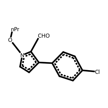 CCCOn1ccc(-c2ccc(Cl)cc2)c1C=O